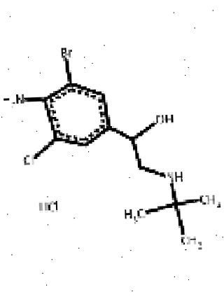 CC(C)(C)NCC(O)c1cc(Cl)c(N)c(Br)c1.Cl